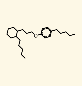 CCCCCc1ccc(OCCCC2CCCCC2CCCCC)cc1